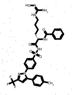 Cc1ccc(-c2cc(C(F)(F)F)nn2-c2ccc(S(=O)(=O)NC(=O)[C@H](CCCCN/C(N)=N\O)NC(=O)c3ccccc3)cc2)cc1